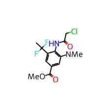 CNc1cc(C(=O)OC)cc(C(C)(F)F)c1NC(=O)CCl